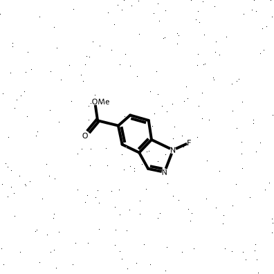 COC(=O)c1ccc2c(cnn2F)c1